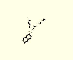 COC(=O)/C=C/CN(CC(=O)NNC(=O)OC(C)(C)C)S(=O)(=O)c1ccc2cc(Cl)ccc2c1